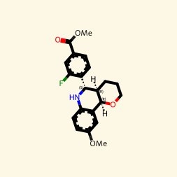 COC(=O)c1ccc([C@H]2Nc3ccc(OC)cc3[C@@H]3OCCC[C@H]23)c(F)c1